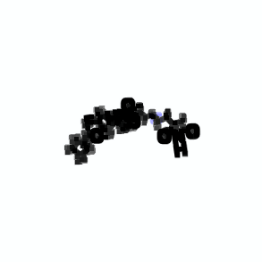 O=C1CC(C/C=C/CCS(=O)(=O)NC2(c3ccc(F)c(OCC4CCCC4)c3)CC2)C(=O)N1